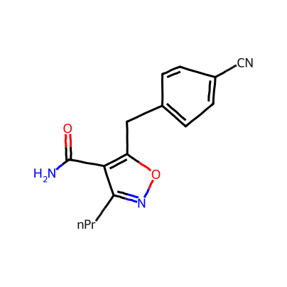 CCCc1noc(Cc2ccc(C#N)cc2)c1C(N)=O